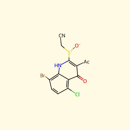 CC(=O)c1c([S+]([O-])CC#N)[nH]c2c(Br)ccc(Cl)c2c1=O